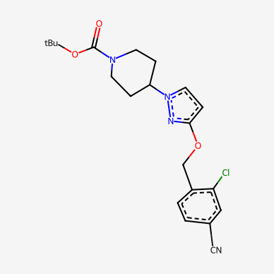 CC(C)(C)OC(=O)N1CCC(n2ccc(OCc3ccc(C#N)cc3Cl)n2)CC1